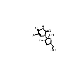 O=c1[nH]c(=O)n([C@]2(O)O[C@@H](CO)C[C@@H]2F)cc1F